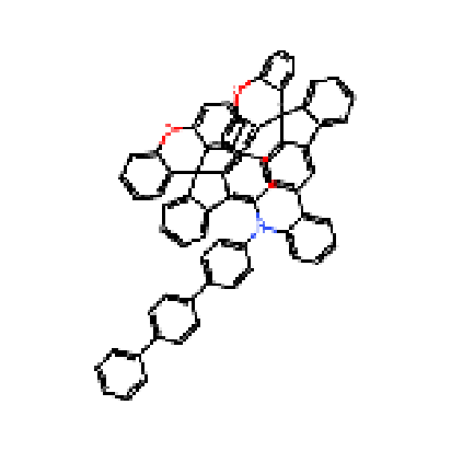 c1ccc(-c2ccc(-c3ccc(N(c4ccccc4-c4ccc5c(c4)-c4ccccc4C54c5ccccc5Oc5ccccc54)c4cccc5c4-c4ccccc4C54c5ccccc5Oc5ccccc54)cc3)cc2)cc1